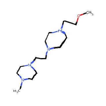 COCCN1CCN(CCN2CCN(C)CC2)CC1